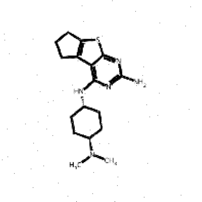 CN(C)[C@H]1CC[C@H](Nc2nc(N)nc3sc4c(c23)CCC4)CC1